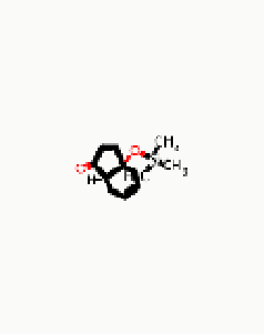 C[Si](C)(C)O[C@]12C=CC(=O)[C@@H]1CC=CC2